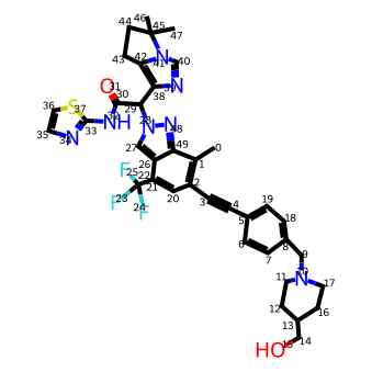 Cc1c(C#Cc2ccc(CN3CCC(CO)CC3)cc2)cc(C(F)(F)F)c2cn(C(C(=O)Nc3nccs3)c3ncn4c3CCC4(C)C)nc12